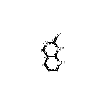 S=c1ncc2cccoc-2n1